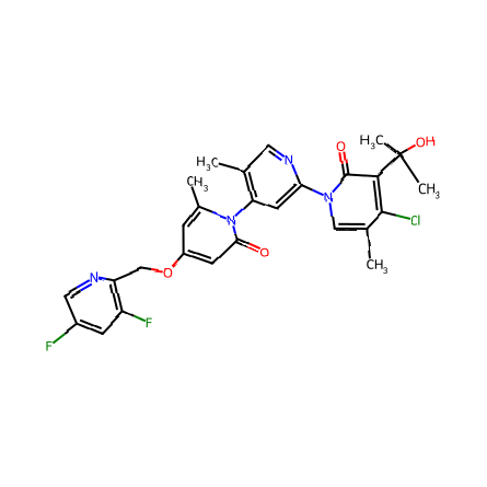 Cc1cnc(-n2cc(C)c(Cl)c(C(C)(C)O)c2=O)cc1-n1c(C)cc(OCc2ncc(F)cc2F)cc1=O